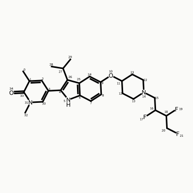 Cc1cc(-c2[nH]c3ccc(OC4CCN(CC(F)C(F)CF)CC4)cc3c2C(C)C)cn(C)c1=O